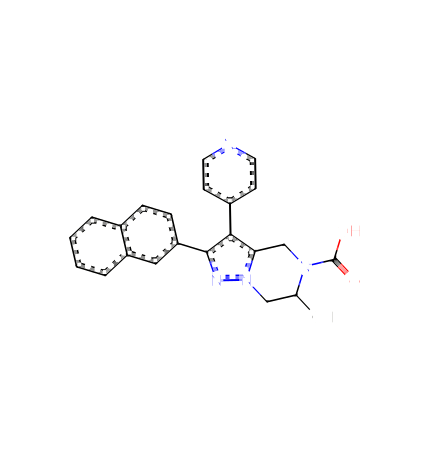 CC1Cn2nc(-c3ccc4ccccc4c3)c(-c3ccncc3)c2CN1C(=O)O